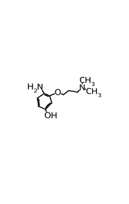 CN(C)CCCOc1cc(O)ccc1N